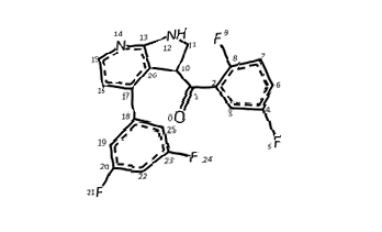 O=C(c1cc(F)ccc1F)C1CNc2nccc(-c3cc(F)cc(F)c3)c21